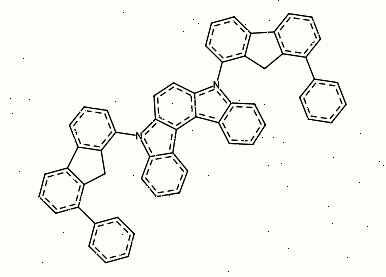 c1ccc(-c2cccc3c2Cc2c-3cccc2-n2c3ccccc3c3c4c5ccccc5n(-c5cccc6c5Cc5c(-c7ccccc7)cccc5-6)c4ccc32)cc1